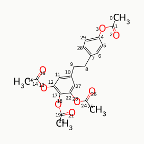 CC(=O)Oc1ccc(CCc2cc(OC(C)=O)c(OC(C)=O)c(OC(C)=O)c2)cc1